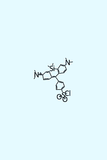 CN(C)c1ccc2c(c1)[Si](C)(C)C1=CC(=[N+](C)C)C=CC1=C2c1ccc(S(=O)(=O)Cl)cc1